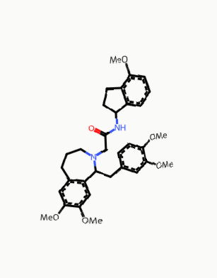 COc1ccc(CC2c3cc(OC)c(OC)cc3CCCN2CC(=O)NC2CCc3c(OC)cccc32)cc1OC